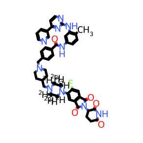 [2H]C1([2H])N(CC2CCN(Cc3ccc(C(=O)Nc4ccc(C)c(Nc5nccc(-c6cccnc6)n5)c4)cc3)CC2)C([2H])([2H])C([2H])([2H])N(c2cc3c(cc2F)C(=O)N(C2CCC(=O)NC2=O)C3=O)C1([2H])[2H]